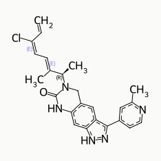 C=C/C(Cl)=C\C=C(/C)[C@@H](C)N1Cc2cc3c(-c4ccnc(C)c4)n[nH]c3cc2NC1=O